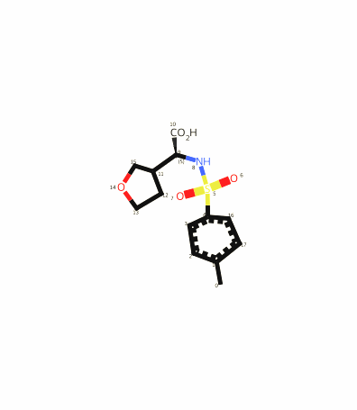 Cc1ccc(S(=O)(=O)N[C@H](C(=O)O)C2CCOC2)cc1